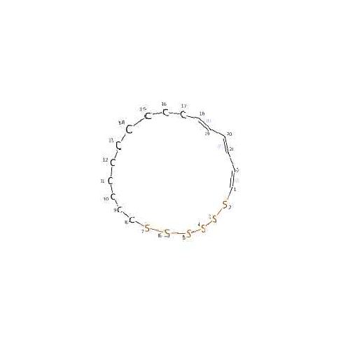 C1=C\SSSSSSCCCCCCCCCC/C=C/C=C/1